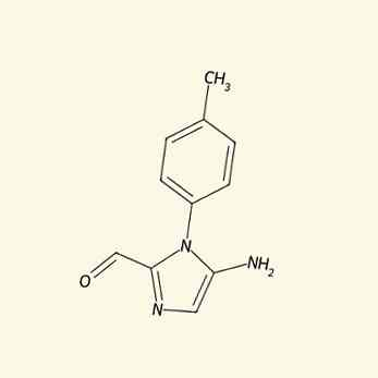 Cc1ccc(-n2c(N)cnc2C=O)cc1